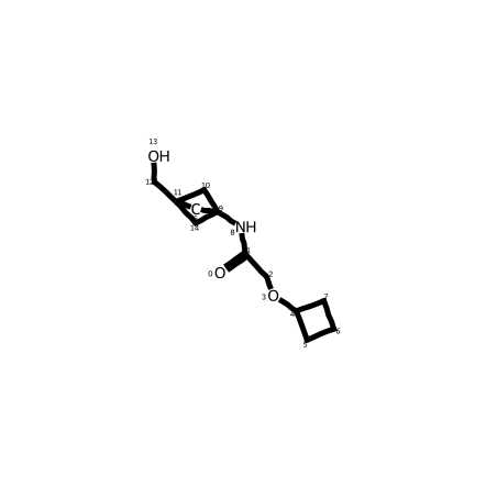 O=C(COC1CCC1)NC12CC(CO)(C1)C2